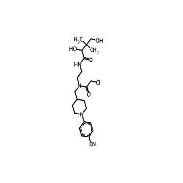 CC(C)(CO)C(O)C(=O)NCCN(CC1CCN(c2ccc(C#N)cc2)CC1)C(=O)CCl